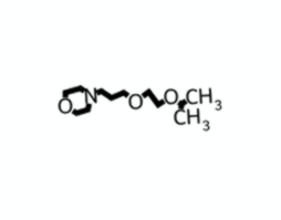 CC(C)OCCOCCCN1CCOCC1